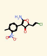 Cc1ccc(C2=C(N)OC(/C=C/Cl)C2=O)cc1[N+](=O)[O-]